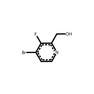 OCc1nccc(Br)c1F